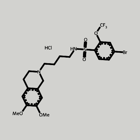 COc1cc2c(cc1OC)CN(CCCCNS(=O)(=O)c1ccc(Br)cc1OC(F)(F)F)CC2.Cl